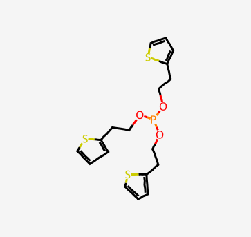 c1csc(CCOP(OCCc2cccs2)OCCc2cccs2)c1